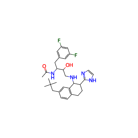 CC(=O)NC(Cc1cc(F)cc(F)c1)C(O)CNC1c2cc(CC(C)(C)C)ccc2CCC1c1ncc[nH]1